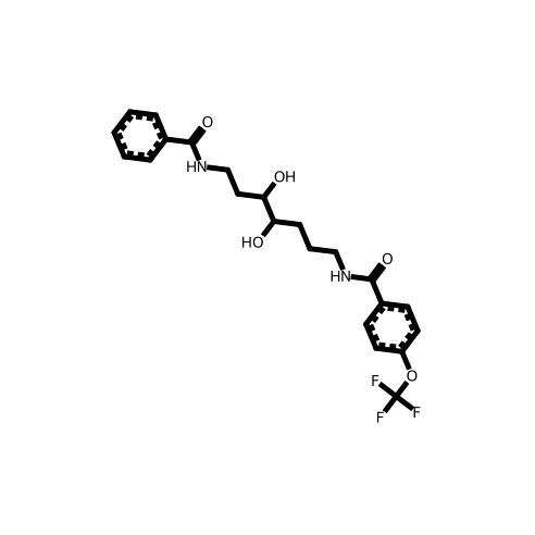 O=C(NCCCC(O)C(O)CCNC(=O)c1ccccc1)c1ccc(OC(F)(F)F)cc1